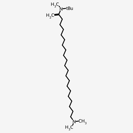 C=C(CCCCCCCCCCCCCCCCCCCCN(C)C)N(C)C(C)(C)C